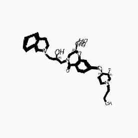 C[C@@H]1CN(C[C@H](O)CN2CCc3ccccc3C2)C(=O)c2ccc(O[C@@H]3CCN(CCO)C[C@H]3F)cc2O1.Cl.Cl